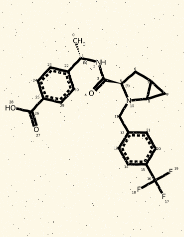 C[C@H](NC(=O)[C@H]1CC2CC2N1Cc1ccc(C(F)(F)F)cc1)c1ccc(C(=O)O)cc1